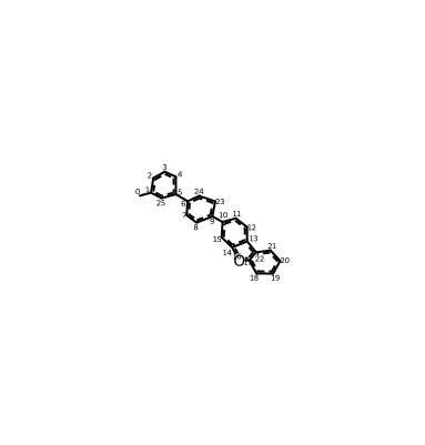 Cc1cccc(-c2ccc(-c3ccc4c(c3)oc3ccccc34)cc2)c1